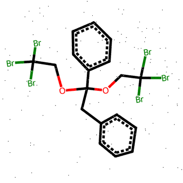 BrC(Br)(Br)COC(Cc1ccccc1)(OCC(Br)(Br)Br)c1ccccc1